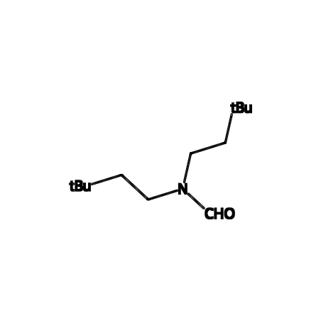 CC(C)(C)CCN(C=O)CCC(C)(C)C